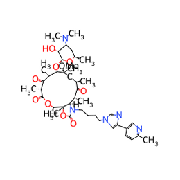 CC[C@H]1OC(=O)[C@H](C)C(=O)[C@H](C)[C@@H](O[C@@H]2O[C@H](C)C[C@H](N(C)C)[C@H]2O)[C@@](C)(OC)C[C@@H](C)C(=O)[C@H](C)[C@H]2N(CCCCn3cnc(-c4ccc(C)nc4)c3)C(=O)O[C@]12C